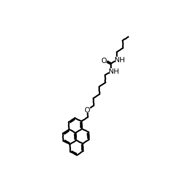 CCCCNC(=O)NCCCCCCOCc1ccc2ccc3cccc4ccc1c2c34